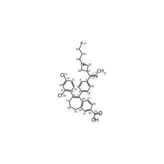 C/N=C(/c1ccc(C2=C(c3ccc(Cl)cc3Cl)CCCc3cc(C(=O)O)ccc32)cc1)C1CN(CCCF)C1